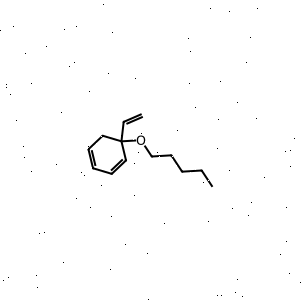 C=CC1(OCCCCC)C=CC=CC1